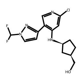 OC[C@@H]1CC[C@H](Nc2cc(Cl)ncc2-c2ccn(C(F)F)n2)C1